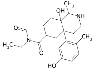 CCN(C=O)C(=O)C1CCC2(O)C(C)NCCC2(c2cc(O)ccc2C)C1